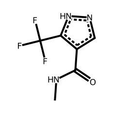 CNC(=O)c1cn[nH]c1C(F)(F)F